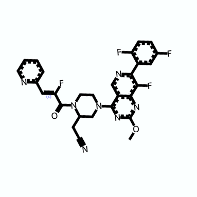 COc1nc(N2CCN(C(=O)/C(F)=C/c3ccccn3)C(CC#N)C2)c2cnc(-c3cc(F)ccc3F)c(F)c2n1